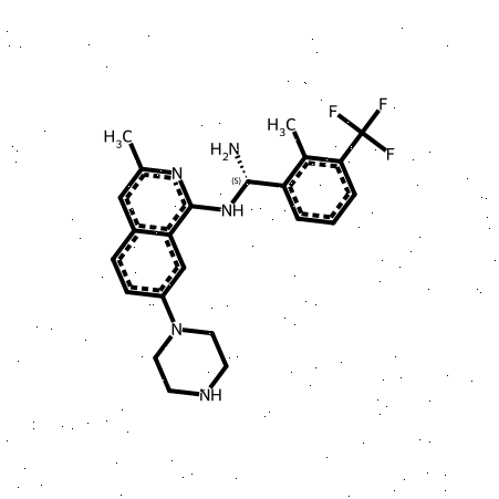 Cc1cc2ccc(N3CCNCC3)cc2c(N[C@H](N)c2cccc(C(F)(F)F)c2C)n1